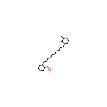 CC1CCCC(CCCCCCCCCCC2CCCCC2C=O)C1C